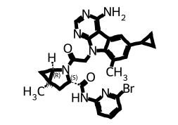 Cc1cc(C2CC2)cc2c3c(N)ncnc3n(CC(=O)N3[C@H](C(=O)Nc4cccc(Br)n4)C[C@@]4(C)C[C@@H]34)c12